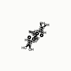 O=S(=O)([O-])c1cc(Nc2nc(Nc3ccccc3)nc(N(OCCO)OCCO)n2)ccc1C=Cc1ccc(Nc2nc(Nc3ccccc3)nc(N(OCCO)OCCO)n2)cc1S(=O)(=O)[O-].[Na+].[Na+]